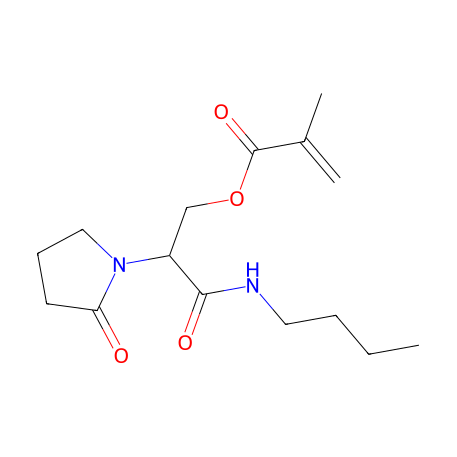 C=C(C)C(=O)OCC(C(=O)NCCCC)N1CCCC1=O